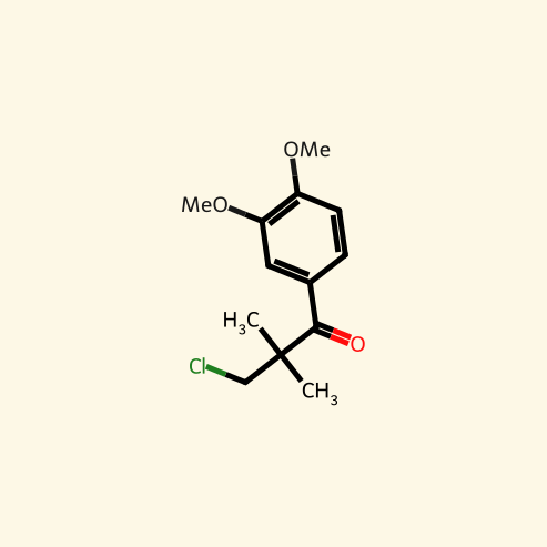 COc1ccc(C(=O)C(C)(C)CCl)cc1OC